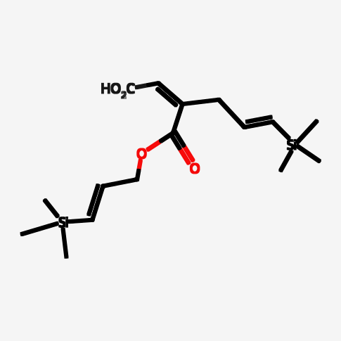 C[Si](C)(C)C=CCOC(=O)C(=CC(=O)O)CC=C[Si](C)(C)C